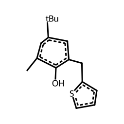 Cc1cc(C(C)(C)C)cc(Cc2cccs2)c1O